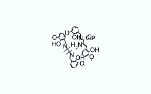 COc1cccc(C=NC(C)(C)C(C)(C)N=Cc2cccc(OC)c2O)c1O.COc1cccc(C=NCC(N)=Cc2cccc(OC)c2O)c1O.[Co].[Co]